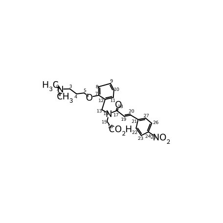 CN(C)CCCOc1ccccc1CN(CC(=O)O)C(=O)C=Cc1ccc([N+](=O)[O-])cc1